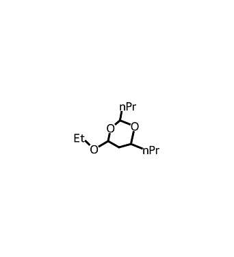 CCCC1CC(OCC)OC(CCC)O1